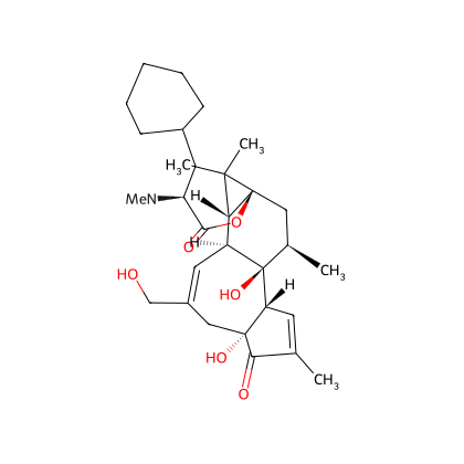 CN[C@@H](CC1CCCCC1)C(=O)O[C@@]12C[C@@H](C)[C@@]3(O)[C@@H](C=C(CO)C[C@]4(O)C(=O)C(C)=C[C@@H]34)[C@@H]1C2(C)C